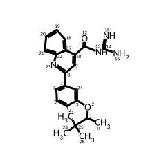 CC(Oc1cccc(-c2cc(C(=O)NC(=N)N)c3ccccc3n2)c1)C(C)(C)C